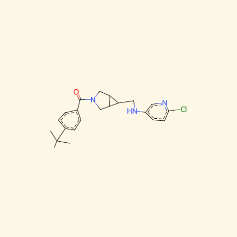 CC(C)(C)c1ccc(C(=O)N2CC3C(CNc4ccc(Cl)nc4)C3C2)cc1